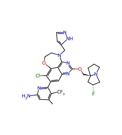 Cc1cc(N)nc(-c2cc3nc(OC[C@@]45CCCN4C[C@H](F)C5)nc4c3c(c2Cl)OCCN4Cc2ccn[nH]2)c1C(F)(F)F